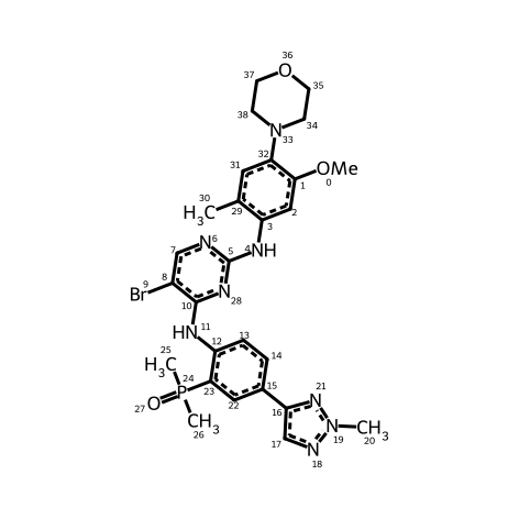 COc1cc(Nc2ncc(Br)c(Nc3ccc(-c4cnn(C)n4)cc3P(C)(C)=O)n2)c(C)cc1N1CCOCC1